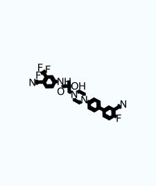 CC(O)(CN1CCN(c2ccc(-c3ccc(F)c(C#N)c3)cc2)CC1)C(=O)Nc1ccc(C#N)c(C(F)(F)F)c1